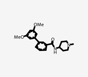 COc1cc(OC)cc(-c2cccc(C(=O)NC3CCN(C)CC3)c2)c1